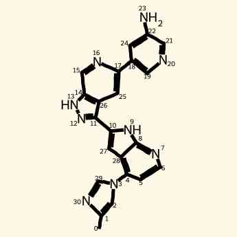 Cc1cn(-c2ccnc3[nH]c(-c4n[nH]c5cnc(-c6cncc(N)c6)cc45)cc23)cn1